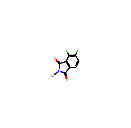 CCN1C(=O)c2ccc(F)c(F)c2C1=O